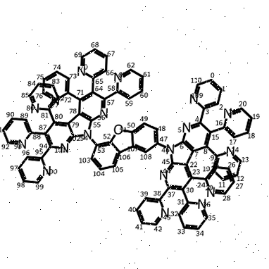 c1ccc(-c2nc3c(c(-c4ccccn4)c2-c2ccccn2)c2c(-c4ccccn4)c(-c4ccccn4)c(-c4ccccn4)nc2n3-c2ccc3oc4c(-n5c6nc(-c7ccccn7)c(-c7ccccn7)c(-c7ccccn7)c6c6c(-c7ccccn7)c(-c7ccccn7)c(-c7ccccn7)nc65)cccc4c3c2)nc1